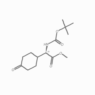 COC(=O)[C@H](NC(=O)OC(C)(C)C)C1CCC(=O)CC1